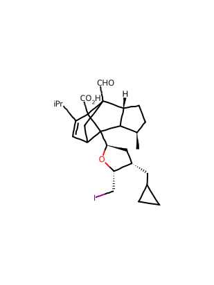 CC(C)C1=CC2CC3(C=O)[C@@H]4CC[C@@H](C)C4C2([C@H]2C[C@H](CC4CC4)[C@H](CI)O2)C13C(=O)O